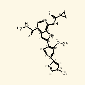 CNC(=O)c1cnc(NC(=O)C2CC2)c2[nH]c(-c3ccc(-c4cn(C)nn4)cc3OC)cc12